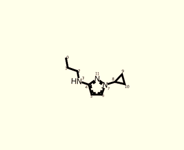 CCCNc1ccn(C2CC2)n1